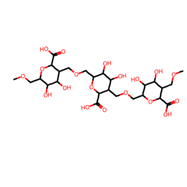 COCC1OC(C(=O)O)C(COCC2OC(C(=O)O)C(COCC3OC(C(=O)O)C(COC)C(O)C3O)C(O)C2O)C(O)C1O